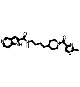 Cc1nc(C(=O)N2CCC(CCCCNC(=O)c3cc4cnccc4[nH]3)CC2)cs1